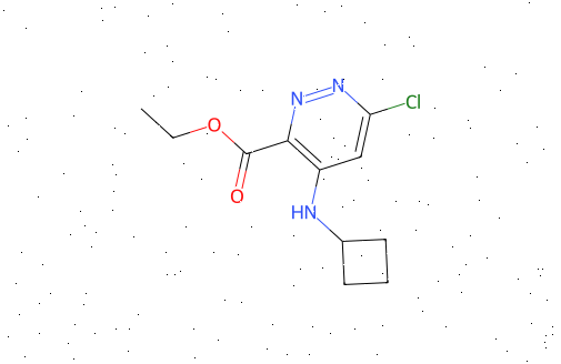 CCOC(=O)c1nnc(Cl)cc1NC1CCC1